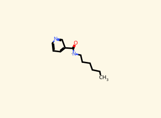 CCCCCC[N]C(=O)c1cccnc1